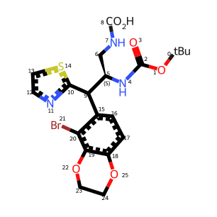 CC(C)(C)OC(=O)N[C@H](CNC(=O)O)C(c1nccs1)c1ccc2c(c1Br)OCCO2